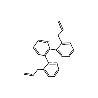 C=CCc1ccccc1-c1[c]cccc1-c1ccccc1CC=C